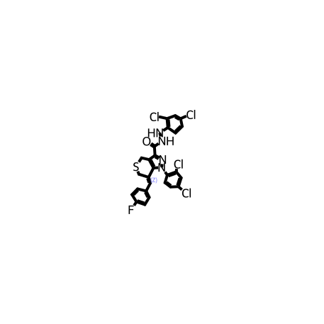 O=C(NNc1ccc(Cl)cc1Cl)c1nn(-c2ccc(Cl)cc2Cl)c2c1CSC/C2=C\c1ccc(F)cc1